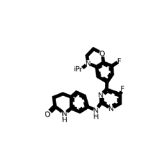 CC(C)N1CCOc2c(F)cc(-c3nc(Nc4ccc5c(c4)NC(=O)CC5)ncc3F)cc21